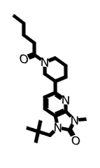 CCCCC(=O)N1CCCC(c2ccc3c(n2)n(C)c(=O)n3CC(C)(C)C)C1